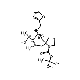 CCCC(C)(C)OC(=O)N1CCCC1(O)CN(C)[C@H](C(=O)NCc1ncno1)[C@@H](C)O